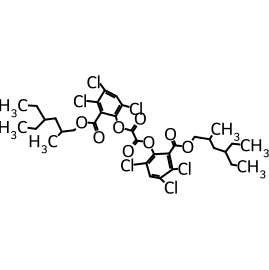 CCC(CC)CC(C)COC(=O)c1c(Cl)c(Cl)cc(Cl)c1OC(=O)C(=O)Oc1c(Cl)cc(Cl)c(Cl)c1C(=O)OCC(C)CC(CC)CC